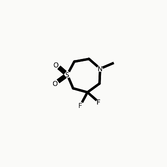 CN1CCS(=O)(=O)CC(F)(F)C1